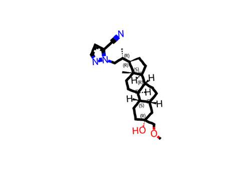 COC[C@@]1(O)CC[C@H]2[C@H](CC[C@@H]3[C@@H]2CC[C@]2(C)[C@@H]([C@@H](C)Cn4nccc4C#N)CC[C@@H]32)C1